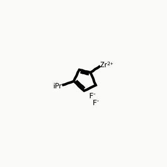 CC(C)C1=CC[C]([Zr+2])=C1.[F-].[F-]